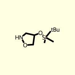 CC(C)(C)[Si](C)(C)OC1CNOC1